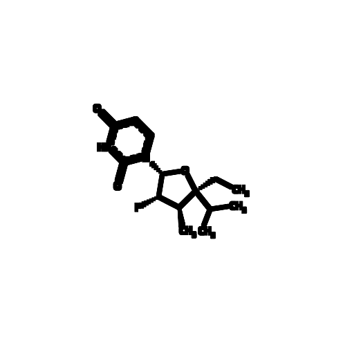 CC[C@@]1(C(C)C)O[C@@H](n2ccc(=O)[nH]c2=O)[C@@H](F)[C@@H]1C